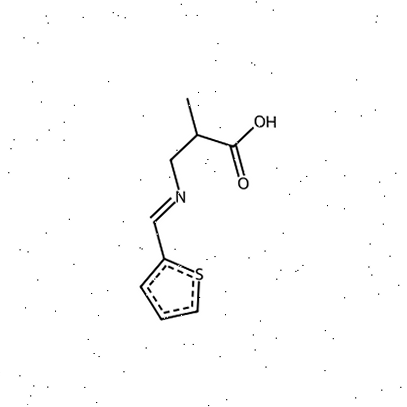 CC(CN=Cc1cccs1)C(=O)O